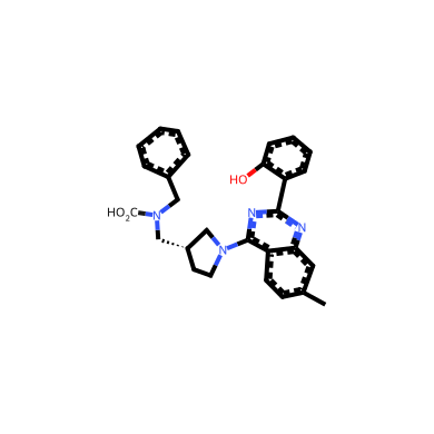 Cc1ccc2c(N3CC[C@H](CN(Cc4ccccc4)C(=O)O)C3)nc(-c3ccccc3O)nc2c1